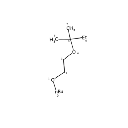 CCCCOCCOC(C)(C)CC